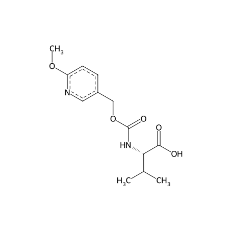 COc1ccc(COC(=O)N[C@H](C(=O)O)C(C)C)cn1